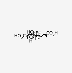 CC(=CCC(F)(F)C(F)(F)C(F)(F)C(O)(O)C=C(C)C(=O)O)C(=O)O